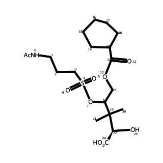 CC(=O)NCCCS(=O)(=O)OC(COC(=O)C1CCCCC1)C(C)(C)[C@@H](O)C(=O)O